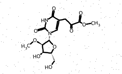 COC(=O)C(=O)Cc1cn([C@@H]2O[C@H](CO)[C@@H](O)[C@H]2OC)c(=O)[nH]c1=O